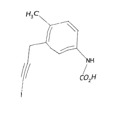 Cc1ccc(NC(=O)O)cc1CC#CI